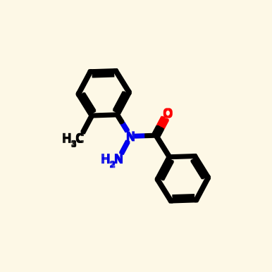 Cc1ccccc1N(N)C(=O)c1ccccc1